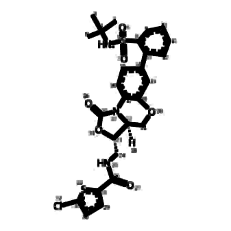 CC(C)(C)NS(=O)(=O)c1ccccc1-c1ccc2c(c1)OC[C@H]1[C@H](CNC(=O)c3ccc(Cl)s3)OC(=O)N21